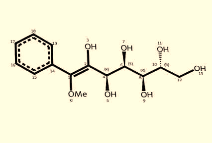 COC(=C(O)[C@H](O)[C@@H](O)[C@H](O)[C@H](O)CO)c1ccccc1